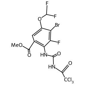 COC(=O)c1cc(OC(F)F)c(Br)c(F)c1NC(=O)NC(=O)C(Cl)(Cl)Cl